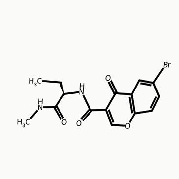 CC[C@@H](NC(=O)c1coc2ccc(Br)cc2c1=O)C(=O)NC